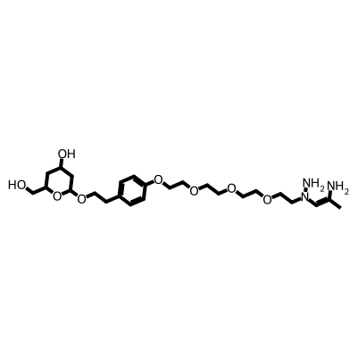 C/C(N)=C/N(N)CCOCCOCCOCCOc1ccc(CCOC2CC(O)CC(CO)O2)cc1